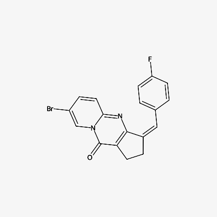 O=c1c2c(nc3ccc(Br)cn13)/C(=C\c1ccc(F)cc1)CC2